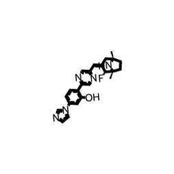 C[C@@]12CC[C@@](C)(N1)[C@@H](F)/C(=C\c1cnc(-c3ccc(-n4ccnc4)cc3O)cn1)C2